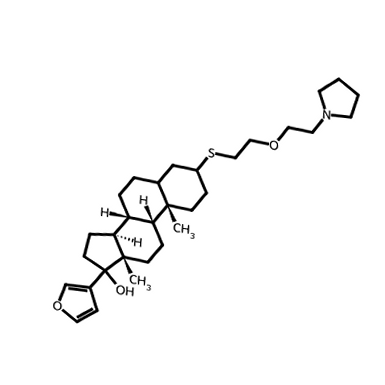 C[C@]12CCC(SCCOCCN3CCCC3)CC1CC[C@@H]1[C@H]2CC[C@@]2(C)[C@H]1CCC2(O)c1ccoc1